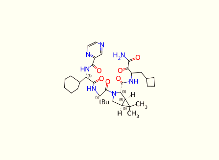 CC(C)(C)[C@H](NC(=O)[C@@H](NC(=O)c1cnccn1)C1CCCCC1)C(=O)N1C[C@H]2[C@@H]([C@H]1C(=O)NC(CC1CCC1)C(=O)C(N)=O)C2(C)C